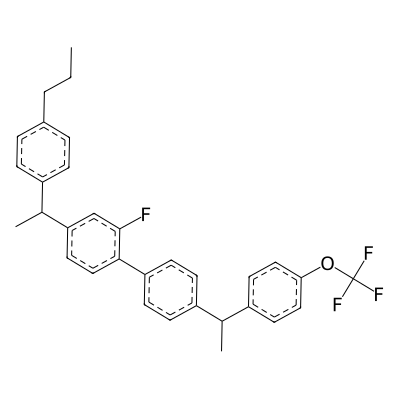 CCCc1ccc(C(C)c2ccc(-c3ccc(C(C)c4ccc(OC(F)(F)F)cc4)cc3)c(F)c2)cc1